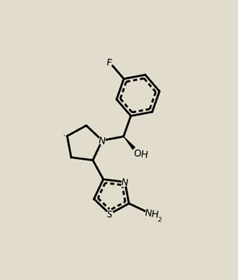 Nc1nc(C2C[CH]CN2[C@H](O)c2cccc(F)c2)cs1